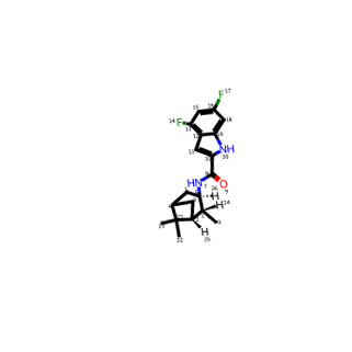 C[C@@H]1[C@H]2CC(C[C@H]1NC(=O)c1cc3c(F)cc(F)cc3[nH]1)C2(C)C